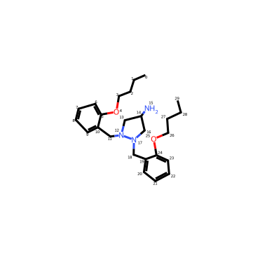 CCCCOc1ccccc1CN1CC(N)CN1Cc1ccccc1OCCCC